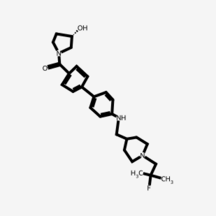 CC(C)(F)CN1CCC(CNc2ccc(-c3ccc(C(=O)N4CC[C@H](O)C4)cc3)cc2)CC1